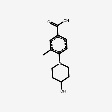 Cc1cc(C(=O)O)ccc1N1CCC(O)CC1